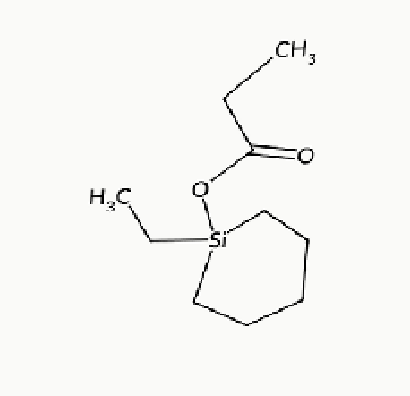 CCC(=O)O[Si]1(CC)CCCCC1